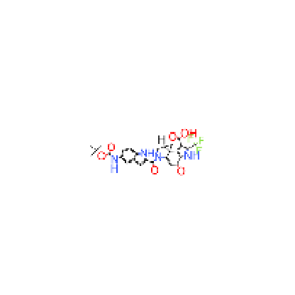 CC(C)(C)OC(=O)Nc1ccc2[nH]c(C(=O)N3C[C@H]4C[C@@]45C3=CC(=O)c3[nH]c(C(F)(F)F)c(C(=O)O)c35)cc2c1